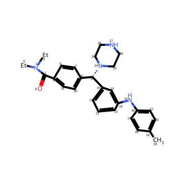 CCN(CC)C(=O)c1ccc([C@@H](c2cccc(Nc3ccc(C)cc3)c2)N2CCNCC2)cc1